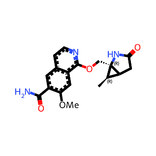 COc1cc2c(OC[C@]34NC(=O)CC3[C@H]4C)nccc2cc1C(N)=O